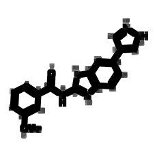 COc1cccc(C(=O)Nc2nc3ccc(-c4cn[nH]c4)cc3s2)c1